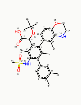 Cc1ccc(-c2c(C)c(-c3ccc4c(c3C)NCCO4)c(C(OC(C)(C)C)C(=O)O)c(C)c2NS(C)(=O)=O)cc1C